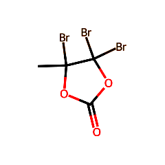 CC1(Br)OC(=O)OC1(Br)Br